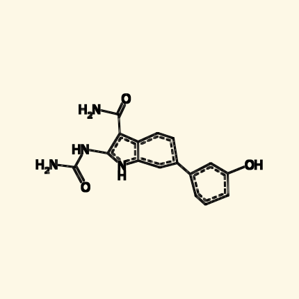 NC(=O)Nc1[nH]c2cc(-c3cccc(O)c3)ccc2c1C(N)=O